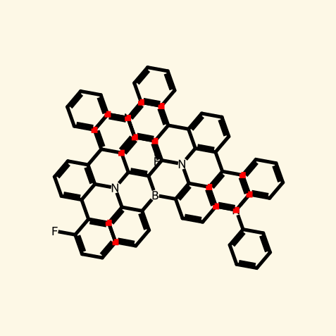 Fc1ccccc1-c1cccc(-c2ccccc2)c1N1c2ccccc2B2c3ccc(N(c4ccccc4)c4ccccc4)cc3N(c3c(-c4ccccc4)cccc3-c3ccccc3F)c3cc(N(c4ccccc4)c4ccccc4)cc1c32